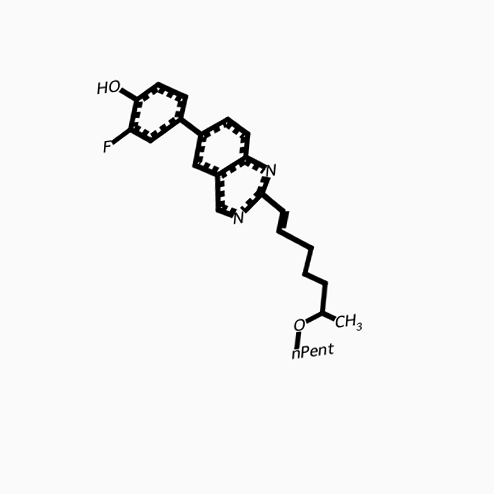 CCCCCOC(C)CCCC=Cc1ncc2cc(-c3ccc(O)c(F)c3)ccc2n1